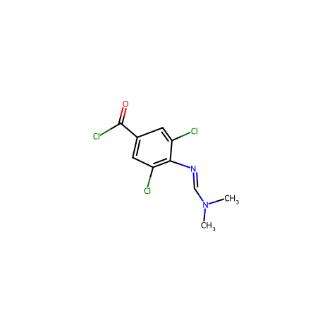 CN(C)C=Nc1c(Cl)cc(C(=O)Cl)cc1Cl